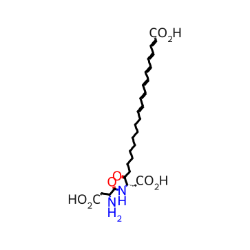 N[C@@H](CC(=O)O)C(=O)N[C@@H](CC(=O)O)C(=O)CCCCCCCCCC=CC=CC=CC=CC=CC=CC(=O)O